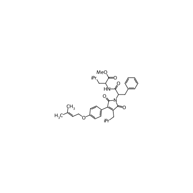 COC(=O)C(CC(C)C)NC(=O)C(Cc1ccccc1)N1C(=O)C(CC(C)C)=C(c2ccc(OCC=C(C)C)cc2)C1=O